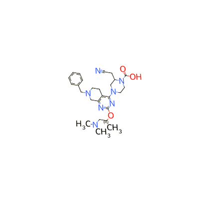 C[C@H](CN(C)C)Oc1nc2c(c(N3CCN(C(=O)O)C(CC#N)C3)n1)CCN(Cc1ccccc1)C2